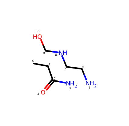 CCC(N)=O.NCCNCO